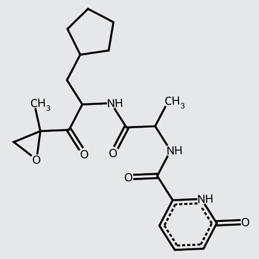 CC(NC(=O)c1cccc(=O)[nH]1)C(=O)NC(CC1CCCC1)C(=O)C1(C)CO1